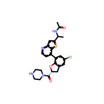 CC(=O)NC(C)c1cc2nccc(-c3cc(Cl)cc4c3O[C@@H](C(=O)N3CCNCC3)C4)c2s1